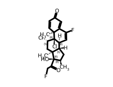 C[C@@H]1C[C@H]2[C@@H]3C=C(F)C4=CC(=O)C=C[C@]4(C)[C@@]3(Cl)[C@@H](Cl)C[C@]2(C)[C@@]1(O)C(=O)CF